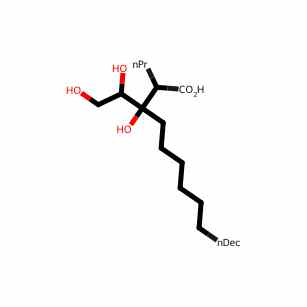 CCCCCCCCCCCCCCCCC(O)(C(O)CO)C(CCC)C(=O)O